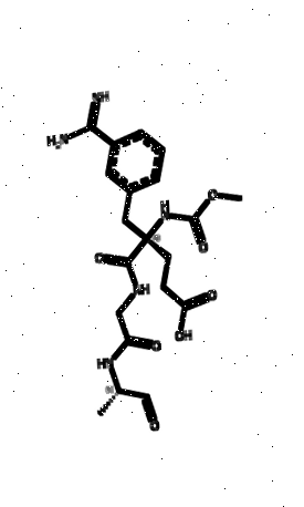 COC(=O)N[C@@](CCC(=O)O)(Cc1cccc(C(=N)N)c1)C(=O)NCC(=O)N[C@@H](C)C=O